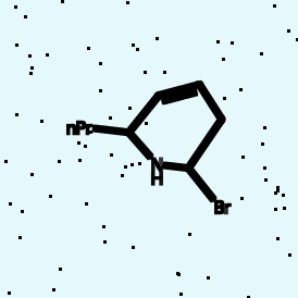 CCCC1C=CCC(Br)N1